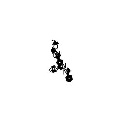 CC(=O)OCC(C)(C)Cn1cc(C2=Cc3nc(-n4ccc(-c5ccccc5)n4)cc(N4CCOCC4)c3C2)cn1